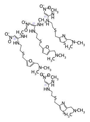 CN/C(=C/[N+](=O)[O-])NCCSCc1ccc(CN(C)C)o1.CN/C(=C/[N+](=O)[O-])NCCSCc1ccc(CN(C)C)o1.CN/C(=C\[N+](=O)[O-])NCCSCc1csc(CN(C)C)n1.CN/C(=C\[N+](=O)[O-])NCCSCc1csc(CN(C)C)n1